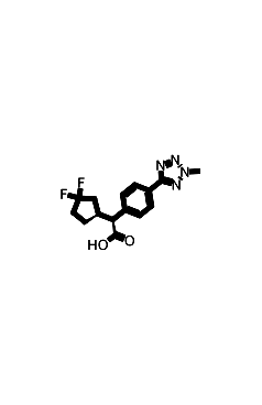 Cn1nnc(-c2ccc([C@@H](C(=O)O)[C@H]3CCC(F)(F)C3)cc2)n1